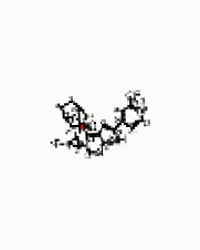 O=C([C@@H]1C[C@H]1F)N1C2CCC1CN(c1ncnc3[nH]c(-c4ccnc(C(F)(F)F)c4)cc13)C2